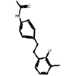 CC(=O)Nc1ccc(C[CH]c2cccc(C)c2Cl)cc1